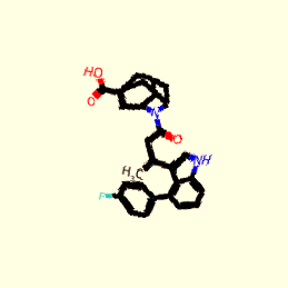 CC(CC(=O)N1C2CC3CC1CC(C(=O)O)(C3)C2)c1c[nH]c2cccc(-c3ccc(F)cc3)c12